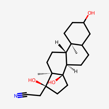 C[C@]12CC[C@H]3[C@@H](CCC4CC(O)CC[C@@]43C)[C@]1(O)CC[C@]2(O)CC#N